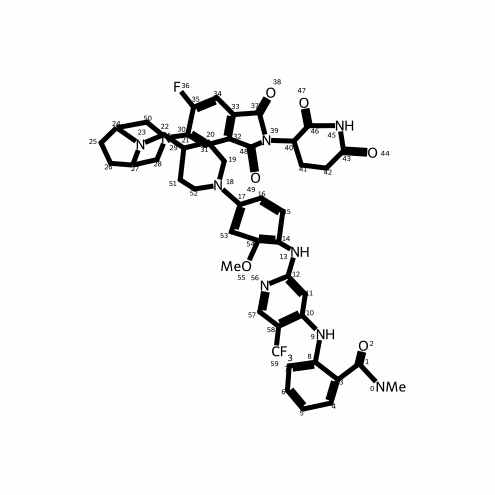 CNC(=O)c1ccccc1Nc1cc(Nc2ccc(N3CCC(CN4C5CCC4CN(c4cc6c(cc4F)C(=O)N(C4CCC(=O)NC4=O)C6=O)C5)CC3)cc2OC)ncc1C(F)(F)F